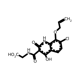 C=CCOc1c(Cl)ccc2c(O)c(C(=O)NCC(=O)O)c(=O)[nH]c12